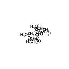 CC(C)CCC(=O)OC(C)CN[C@@H](Cc1ccc(OC(=O)OC(C)(C)C)c(OC(=O)OC(C)(C)C)c1)C(=O)O